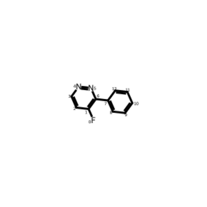 Fc1ccnnc1-c1ccccc1